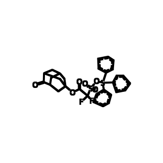 O=C1C2CC3CC1CC(OC(=O)C(F)(F)S(=O)(=O)OS(c1ccccc1)(c1ccccc1)c1ccccc1)(C3)C2